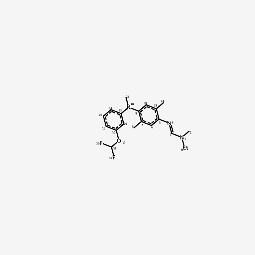 CCN(C)C=Nc1cc(C)c(N(C)c2cccc(OC(F)F)c2)cc1C